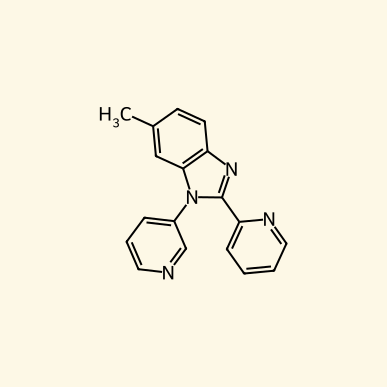 Cc1ccc2nc(-c3ccccn3)n(-c3cccnc3)c2c1